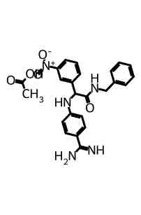 CC(=O)O.N=C(N)c1ccc(NC(C(=O)NCc2ccccc2)c2cccc([N+](=O)[O-])c2)cc1